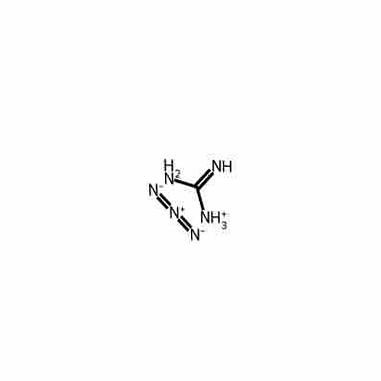 N=C(N)[NH3+].[N-]=[N+]=[N-]